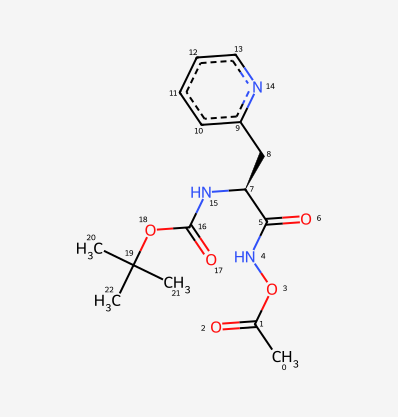 CC(=O)ONC(=O)[C@H](Cc1ccccn1)NC(=O)OC(C)(C)C